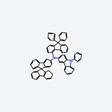 C1=CC2=C(CC1)C1(c3ccccc32)c2ccccc2-c2cc(N(c3ccc4c(c3)c3ccccc3n4-c3ccccc3)c3cccc4c3-c3ccccc3C4(c3ccccc3)c3ccccc3)ccc21